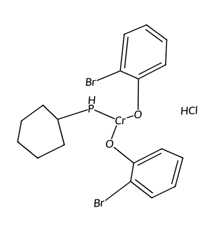 Brc1ccccc1[O][Cr]([O]c1ccccc1Br)[PH]C1CCCCC1.Cl